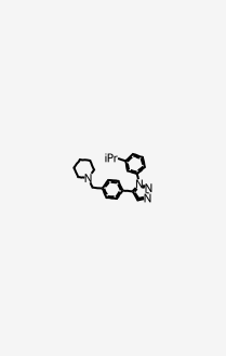 CC(C)c1cccc(-n2nncc2-c2ccc(CN3CCCCC3)cc2)c1